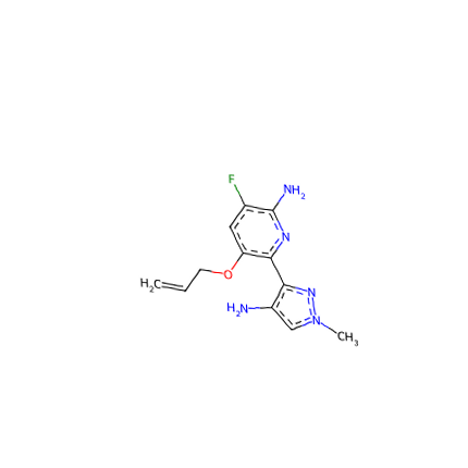 C=CCOc1cc(F)c(N)nc1-c1nn(C)cc1N